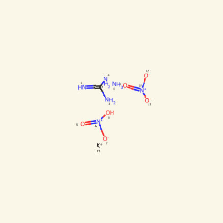 N.N=C(N)N.O=[N+]([O-])O.O=[N+]([O-])[O-].[K+]